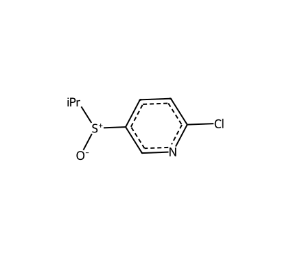 CC(C)[S+]([O-])c1ccc(Cl)nc1